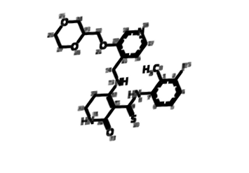 Cc1c(F)cccc1NC(=S)C1=C(NCc2ccncc2OCC2COCCO2)CCNC1=O